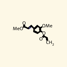 C=CC(=O)Oc1ccc(/C=C/C(=O)OC)cc1OC